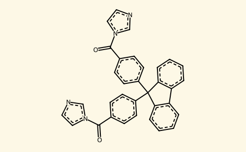 O=C(c1ccc(C2(c3ccc(C(=O)n4ccnc4)cc3)c3ccccc3-c3ccccc32)cc1)n1ccnc1